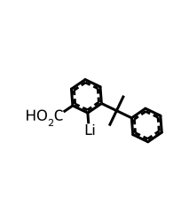 [Li][c]1c(C(=O)O)cccc1C(C)(C)c1ccccc1